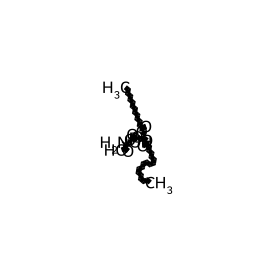 CC/C=C\C/C=C\C/C=C\C/C=C\CCCCC(=O)O[C@H](COC(=O)CCCCCCCCCCCCC)COP(=O)(O)OC[C@H](N)C(=O)O